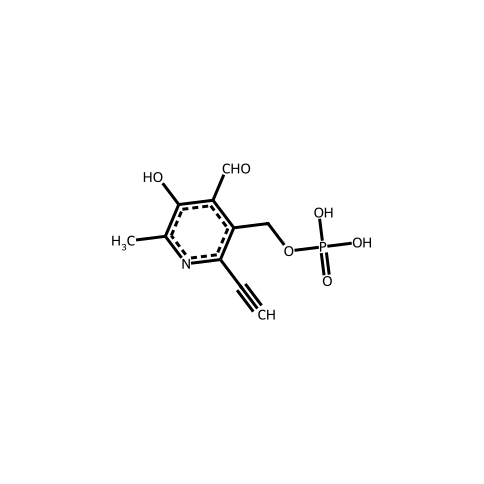 C#Cc1nc(C)c(O)c(C=O)c1COP(=O)(O)O